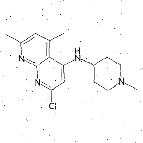 Cc1cc(C)c2c(NC3CCN(C)CC3)cc(Cl)nc2n1